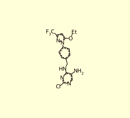 CCOc1cc(C(F)(F)F)nn1-c1ccc(CNc2nc(Cl)ncc2N)cc1